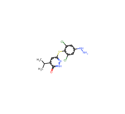 CC(C)c1cc(Sc2c(Cl)cc(NN)cc2Cl)n[nH]c1=O